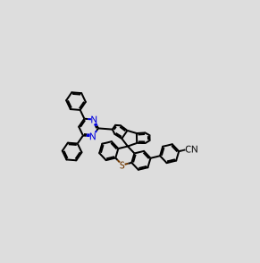 N#Cc1ccc(-c2ccc3c(c2)C2(c4ccccc4S3)c3ccccc3-c3ccc(-c4nc(-c5ccccc5)cc(-c5ccccc5)n4)cc32)cc1